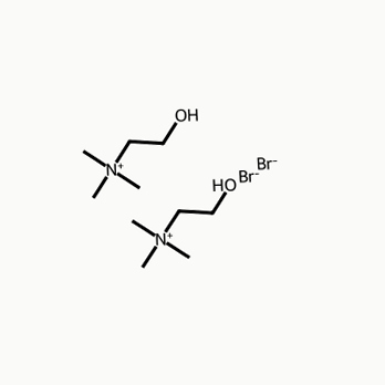 C[N+](C)(C)CCO.C[N+](C)(C)CCO.[Br-].[Br-]